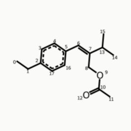 CCc1ccc(C=C(COC(C)=O)C(C)C)cc1